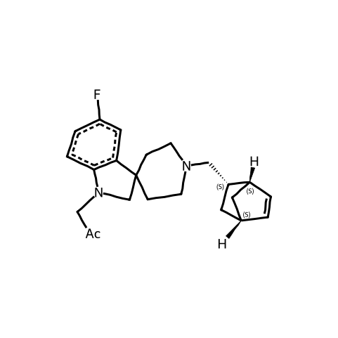 CC(=O)CN1CC2(CCN(C[C@H]3C[C@H]4C=C[C@@H]3C4)CC2)c2cc(F)ccc21